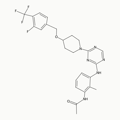 CC(=O)Nc1cccc(Nc2ncnc(N3CCC(OCc4ccc(C(F)(F)F)c(F)c4)CC3)n2)c1C